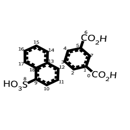 O=C(O)c1cccc(C(=O)O)c1.O=S(=O)(O)c1cccc2ccccc12